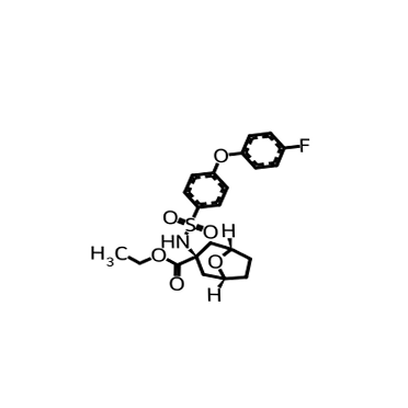 CCOC(=O)[C@@]1(NS(=O)(=O)c2ccc(Oc3ccc(F)cc3)cc2)C[C@H]2CC[C@@H](C1)O2